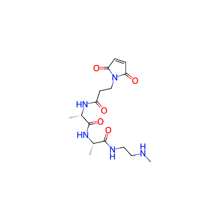 CNCCNC(=O)[C@H](C)NC(=O)[C@H](C)NC(=O)CCN1C(=O)C=CC1=O